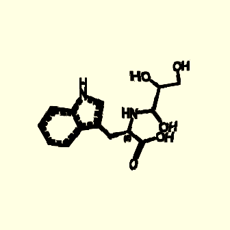 O=C(O)[C@@H](Cc1c[nH]c2ccccc12)NC(O)C(O)CO